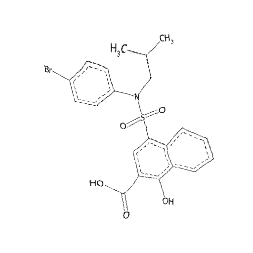 CC(C)CN(c1ccc(Br)cc1)S(=O)(=O)c1cc(C(=O)O)c(O)c2ccccc12